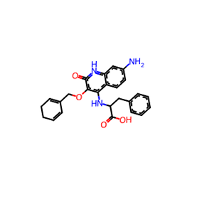 Nc1ccc2c(NC(Cc3ccccc3)C(=O)O)c(OCC3=CCCC=C3)c(=O)[nH]c2c1